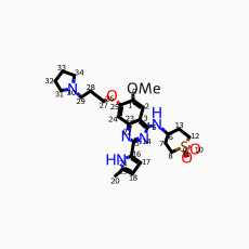 COc1cc2c(NC3CCS(=O)(=O)CC3)nc(-c3ccc(C)[nH]3)nc2cc1OCCCN1CCCC1